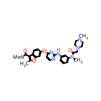 CNC(=O)c1c(C)oc2cc(Oc3ccnc(Nc4cccc(N(C)C(=O)CN5CCN(C)CC5)c4)n3)ccc12